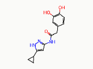 O=C(Cc1ccc(O)c(O)c1)Nc1cc(C2CC2)[nH]n1